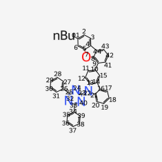 CCCCc1ccc2c(c1)oc1c(-c3ccc4c(c3)c3ccccc3n4-c3nc(-c4ccccc4)nc(-c4ccccc4)n3)cccc12